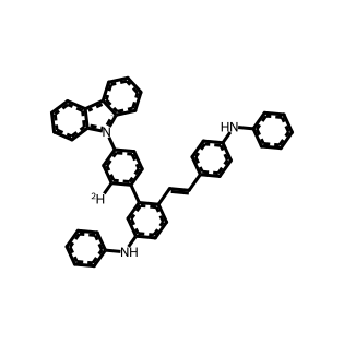 [2H]c1cc(-n2c3ccccc3c3ccccc32)ccc1-c1cc(Nc2ccccc2)ccc1C=Cc1ccc(Nc2ccccc2)cc1